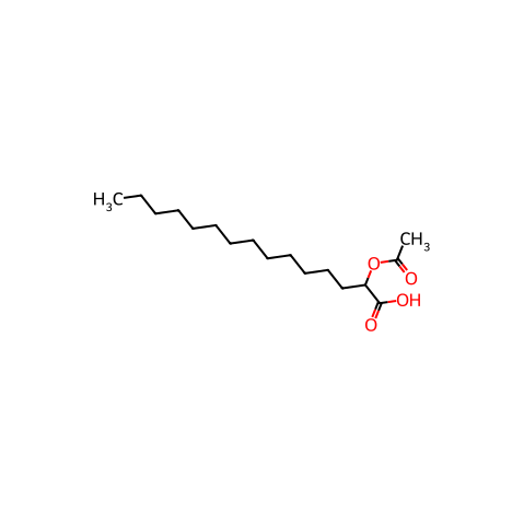 CCCCCCCCCCCCCC(OC(C)=O)C(=O)O